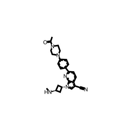 CN[C@H]1C[C@H](n2cc(C#N)c3ccc(-c4ccc(N5CCN(C(C)=O)CC5)cc4)nc32)C1